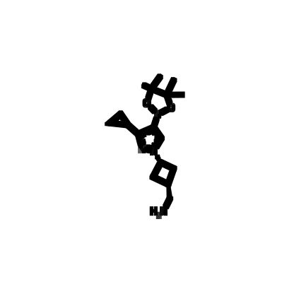 CC1(C)OB(c2cn([C@H]3C[C@H](CN)C3)nc2C2CC2)OC1(C)C